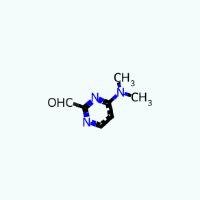 CN(C)c1ccnc(C=O)n1